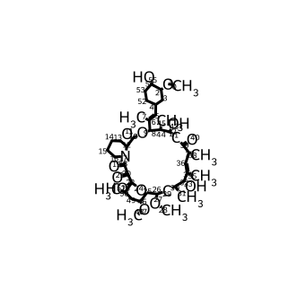 COC1CC(C=C(C)C2OC(=O)C3CCCCN3C(=O)C(=O)C3(O)OC(C(OC)CC(C)C(O)/C(C)=C/C(C)C(=O)CC(O)C2C)C(OC)CC3C)CCC1O